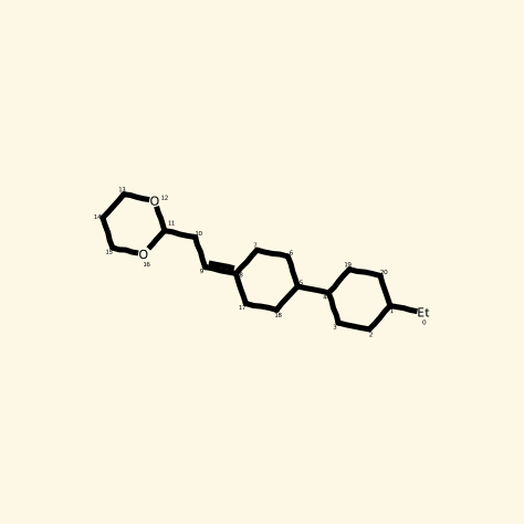 CCC1CCC(C2CCC(=CCC3OCCCO3)CC2)CC1